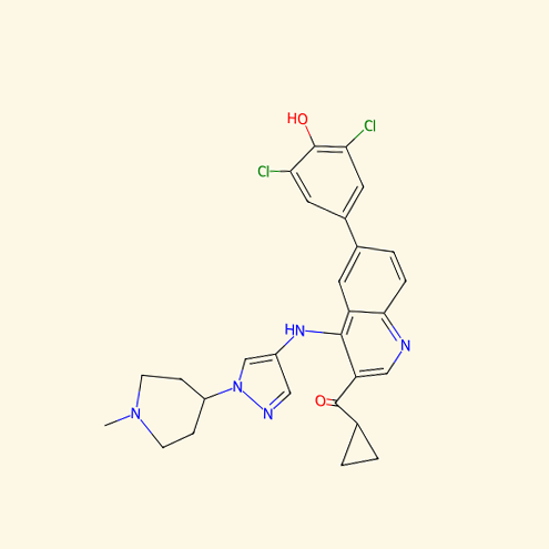 CN1CCC(n2cc(Nc3c(C(=O)C4CC4)cnc4ccc(-c5cc(Cl)c(O)c(Cl)c5)cc34)cn2)CC1